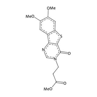 COC(=O)CCn1cnc2c(sc3cc(OC)c(OC)cc32)c1=O